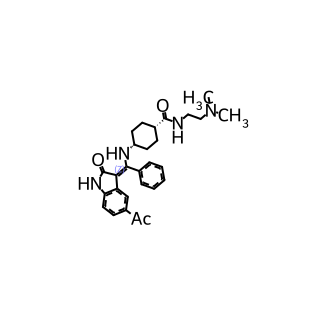 CC(=O)c1ccc2c(c1)/C(=C(/N[C@H]1CC[C@@H](C(=O)NCCN(C)C)CC1)c1ccccc1)C(=O)N2